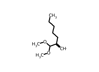 [CH]=C(CCCCC)C(OC)OC